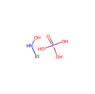 CCNO.O=P(O)(O)O